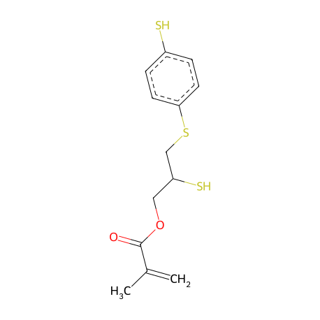 C=C(C)C(=O)OCC(S)CSc1ccc(S)cc1